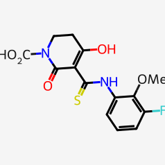 COc1c(F)cccc1NC(=S)C1=C(O)CCN(C(=O)O)C1=O